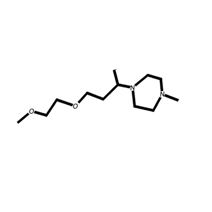 [CH2]C(CCOCCOC)N1CCN(C)CC1